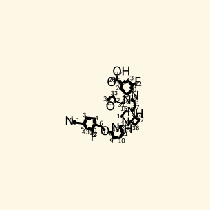 N#Cc1ccc(COc2cccc(N3CCN(Cc4nc5c(F)cc(C(=O)O)cc5n4C[C@@H]4CCO4)[C@@H]4CC[C@H]43)n2)c(F)c1